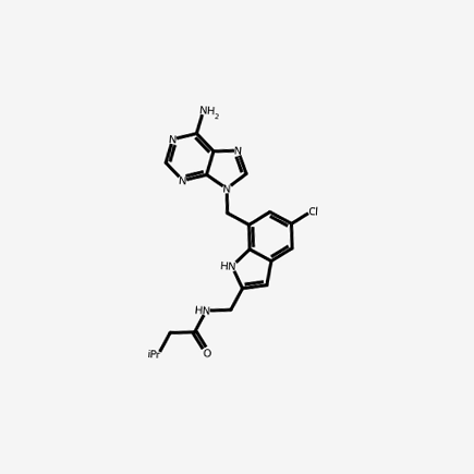 CC(C)CC(=O)NCc1cc2cc(Cl)cc(Cn3cnc4c(N)ncnc43)c2[nH]1